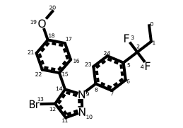 CCC(F)(F)c1ccc(-n2ncc(Br)c2-c2ccc(OC)cc2)cc1